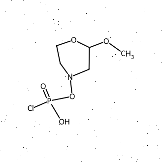 COC1CN(OP(=O)(O)Cl)CCO1